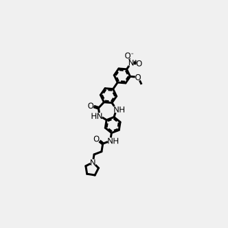 COc1cc(-c2ccc3c(c2)Nc2ccc(NC(=O)CCN4CCCC4)cc2NC3=O)ccc1[N+](=O)[O-]